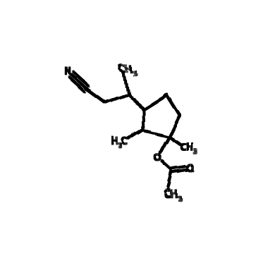 CC(=O)OC1(C)CCC(C(C)CC#N)C1C